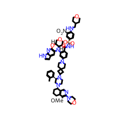 COc1c(N2CCOCC2)ncc2c1CCC[C@H]2N1CCN(C2CC3(CCN(c4ccc(C(=O)NS(=O)(=O)c5ccc(NCC6CCOCC6)c([N+](=O)[O-])c5)c(N5c6cc7cc[nH]c7nc6O[C@H]6COCC[C@@H]65)c4)CC3)C2)[C@H](c2ccccc2C)C1